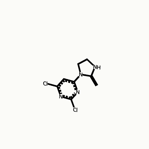 C=C1NCCN1c1cc(Cl)nc(Cl)n1